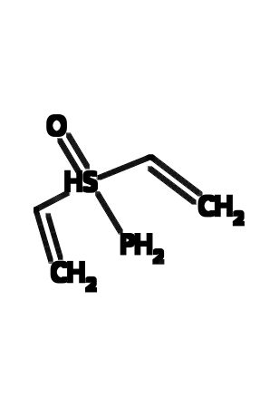 C=C[SH](=O)(P)C=C